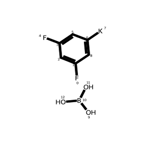 Fc1cc(F)c[c]([K])c1.OB(O)O